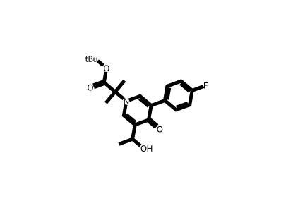 CC(O)c1cn(C(C)(C)C(=O)OC(C)(C)C)cc(-c2ccc(F)cc2)c1=O